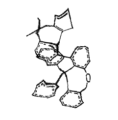 CC1(C)C2=C(CCC=C2)c2c(-c3cccc4c3C(c3ccccc3)(c3ccccc3)c3ccccc3O4)cccc21